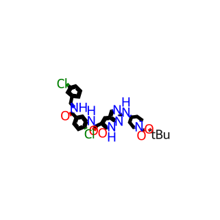 CC(C)(C)OC(=O)N1CCC(Nc2ncc3cc(C(=O)Nc4cc(C(=O)NCc5cccc(Cl)c5)ccc4Cl)c(=O)[nH]c3n2)CC1